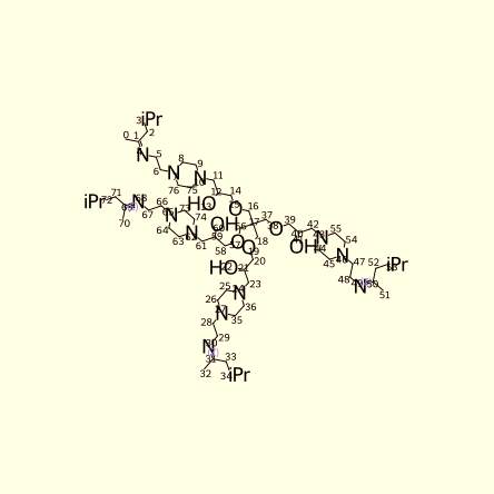 CC(CC(C)C)=NCCN1CCN(CC(O)COCC(COCC(O)CN2CCN(CC/N=C(/C)CC(C)C)CC2)(COCC(O)CN2CCN(CC/N=C(/C)CC(C)C)CC2)COCC(O)CN2CCN(CC/N=C(\C)CC(C)C)CC2)CC1